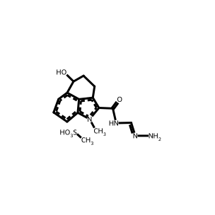 CS(=O)(=O)O.Cn1c(C(=O)NC=NN)c2c3c(cccc31)C(O)CC2